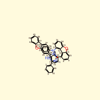 c1ccc(C2=NC(c3cccc4oc5cccc(-n6c7ccccc7c7ccccc76)c5c34)=NC(c3ccc4c(c3)oc3ccccc34)N2)cc1